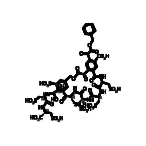 O=C(OCc1ccccc1)C(=O)c1cc(C(=O)C(=O)OCc2ccccc2)c(C(=O)NC(CS(=O)(=O)O)C(=O)N[C@H](CS(=O)(=O)O)C(=O)N[C@H](CS(=O)(=O)O)C(=O)N[C@H](CS(=O)(=O)O)C(=O)N[C@H](CS(=O)(=O)O)C(O)N[C@H](CS(=O)(=O)O)C(=O)N[C@H](CS(=O)(=O)O)C(=O)O)cc1C(=O)O